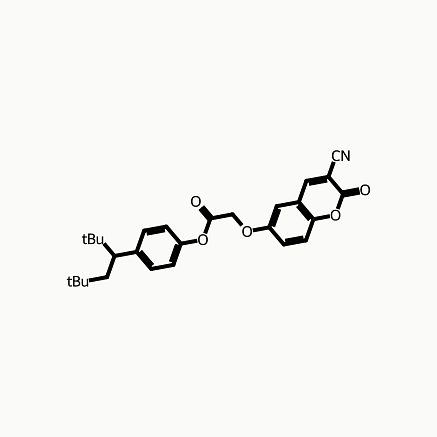 CC(C)(C)CC(c1ccc(OC(=O)COc2ccc3oc(=O)c(C#N)cc3c2)cc1)C(C)(C)C